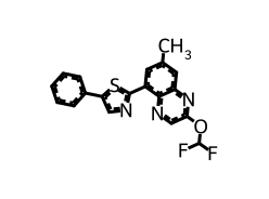 Cc1cc(-c2ncc(-c3ccccc3)s2)c2ncc(OC(F)F)nc2c1